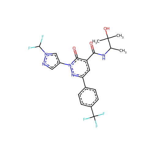 CC(NC(=O)c1cc(-c2ccc(C(F)(F)F)cc2)nn(-c2cnn(C(F)F)c2)c1=O)C(C)(C)O